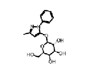 Cc1cc(OC2O[C@H](CO)[C@H](O)[C@H](O)[C@H]2O)n(-c2ccccc2)n1